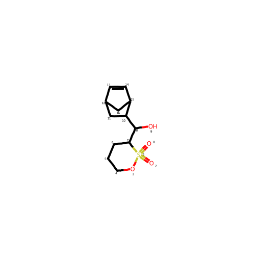 O=S1(=O)OCCCC1C(O)C1CC2C=CC1C2